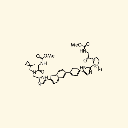 CC[C@@H]1CCN(C(=O)CNC(=O)OC)C1c1ncc(-c2ccc(-c3ccc4cc(-c5cnc(CN(CC6(C)CC6)C(=O)CNC(=O)OC)[nH]5)ccc4c3)cc2)[nH]1